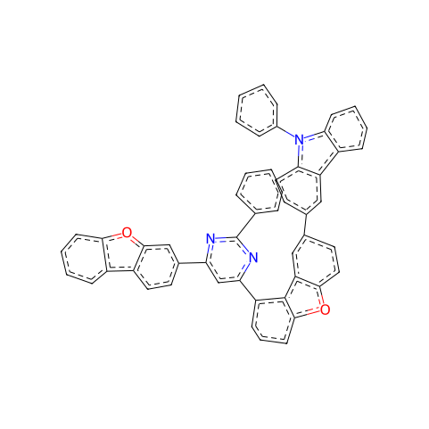 c1ccc(-c2nc(-c3ccc4c(c3)oc3ccccc34)cc(-c3cccc4oc5ccc(-c6ccc7c(c6)c6ccccc6n7-c6ccccc6)cc5c34)n2)cc1